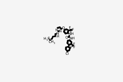 CN(C)CCCCNc1nccc(Oc2ccc(NC(=O)Nc3ccc(-c4ccc(Cl)cc4)c(C(F)(F)F)c3)c(C(F)(F)F)c2)n1